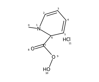 CN1C=CC=CC1C(=O)OO.Cl